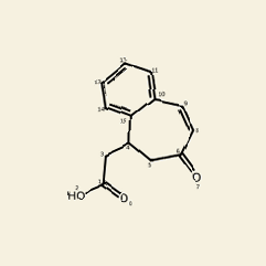 O=C(O)CC1CC(=O)C=Cc2ccccc21